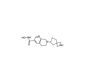 O=C(NO)c1cnc2c(c1)CCN(C1CCC3(CNC3)C1)C2